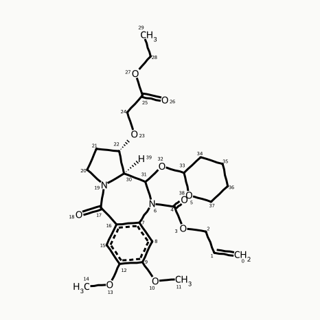 C=CCOC(=O)N1c2cc(OC)c(OC)cc2C(=O)N2CC[C@H](OCC(=O)OCC)[C@H]2C1OC1CCCCO1